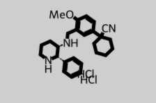 COc1ccc(C2(C#N)CCCCC2)cc1CN[C@H]1CCCN[C@H]1c1ccccc1.Cl.Cl